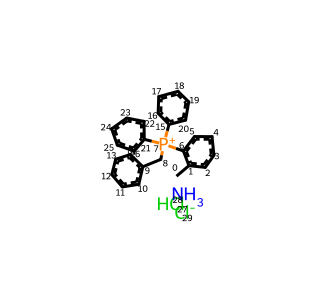 Cc1ccccc1[P+](Cc1ccccc1)(c1ccccc1)c1ccccc1.Cl.N.[Cl-]